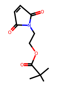 CC(C)(C)C(=O)OCCN1C(=O)C=CC1=O